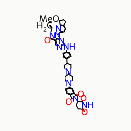 C=CCn1c(=O)c2cnc(Nc3ccc(C4CCN(C5CCN(c6ccc7c(c6)C(=O)N(C6CCC(=O)NC6=O)C7=O)CC5)CC4)cc3)nc2n1-c1ccc2c(n1)C(OC)CC2